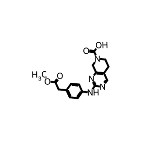 COC(=O)Cc1ccc(Nc2ncc3c(n2)CN(C(=O)O)CC3)cc1